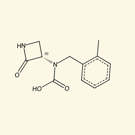 Cc1ccccc1CN(C(=O)O)[C@H]1CNC1=O